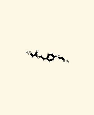 C=CCOc1ccc(CCOC(=O)C=C)cc1